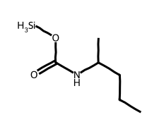 CCCC(C)NC(=O)O[SiH3]